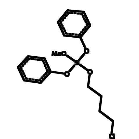 CO[Si](OCCCCCl)(Oc1ccccc1)Oc1ccccc1